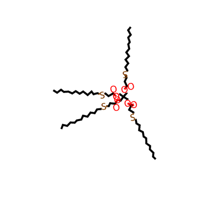 CCCCCCCCCCCCCSCCC(=O)OCC(COC(=O)CCSCCCCCCCCCCCCC)(COC(=O)CCSCCCCCCCCCCCCC)COC(=O)CCSCCCCCCCCCCCCC